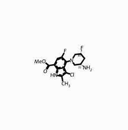 COC(=O)c1cc(F)c(N2C[C@@H](N)C[C@@H](F)C2)c2c(Cl)c(C)[nH]c12